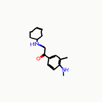 CNc1ccc(C(=O)CNC2CCCCC2)cc1C